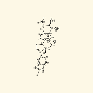 Cc1nc2cc(C3=CCC4[C@@]56CC[C@]7(C[C@H](N(C)C)[C@@H](O)[C@H](O)C7CC5(Cl)CC[C@]34C)O6)ccc2o1